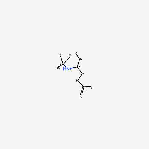 C=C(C)CCC(CC)NC(C)(C)C